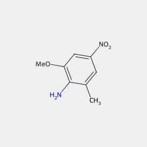 COc1cc([N+](=O)[O-])cc(C)c1N